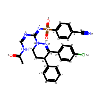 CC(=O)N/C=N\C(=N\S(=O)(=O)c1ccc(C#N)cc1)N1CCC(c2ccccc2)C(c2ccc(Cl)cc2)=N1